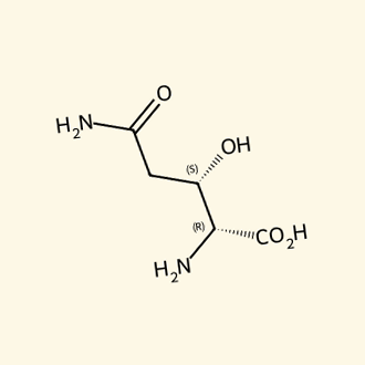 NC(=O)C[C@H](O)[C@@H](N)C(=O)O